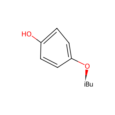 [CH2][C@H](CC)Oc1ccc(O)cc1